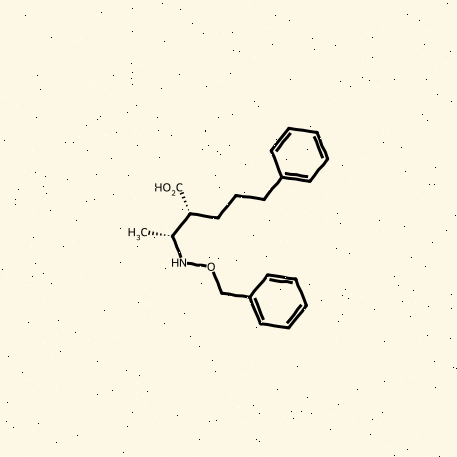 C[C@@H](NOCc1ccccc1)[C@@H](CCCc1ccccc1)C(=O)O